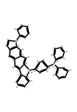 c1ccc(-n2ccc3cc4cc5c6ccccc6n(-c6ccc(P(c7ccccc7)c7ccccc7)cc6)c5cc4cc32)cc1